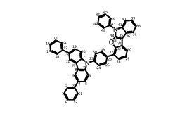 c1ccc(-c2ccc3c(c2)c2cc(-c4ccccc4)ccc2n3-c2ccc(-c3cccc4c3oc3c4c4ccccc4n3-c3ccccc3)cc2)cc1